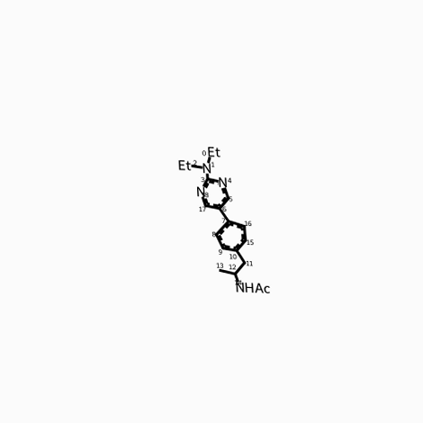 CCN(CC)c1ncc(-c2ccc(CC(C)NC(C)=O)cc2)cn1